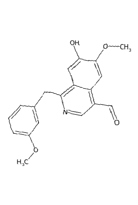 COc1cccc(Cc2ncc(C=O)c3cc(OC)c(O)cc23)c1